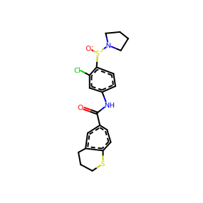 O=C(Nc1ccc([S+]([O-])N2CCCC2)c(Cl)c1)c1ccc2c(c1)CCCS2